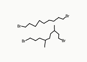 BrCCCCCCCCCBr.CC(CCBr)CCC(C)CCCBr